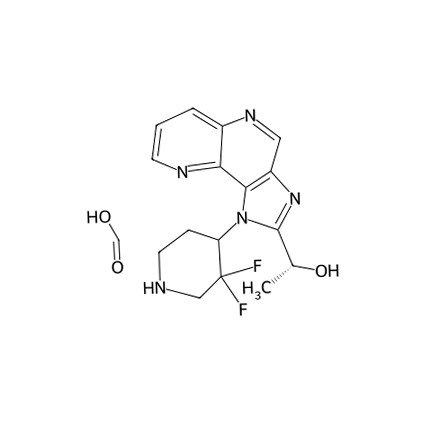 C[C@@H](O)c1nc2cnc3cccnc3c2n1C1CCNCC1(F)F.O=CO